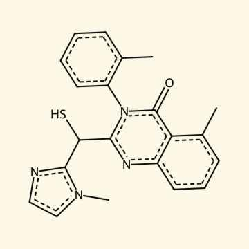 Cc1ccccc1-n1c(C(S)c2nccn2C)nc2cccc(C)c2c1=O